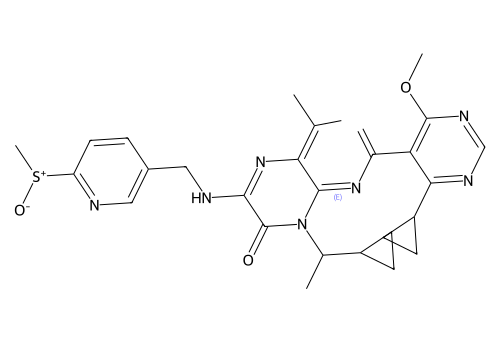 C=C(/N=C1\C(=C(C)C)N=C(NCc2ccc([S+](C)[O-])nc2)C(=O)N1C(C)C1CC1)c1c(OC)ncnc1C1CC1